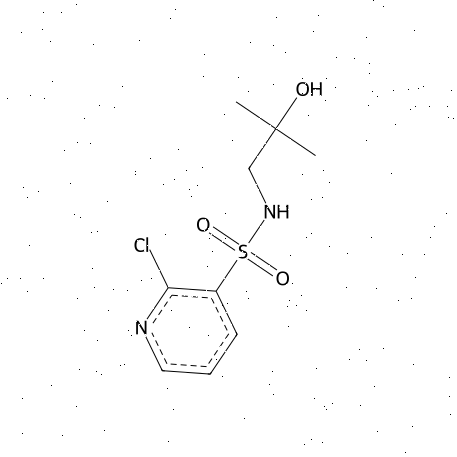 CC(C)(O)CNS(=O)(=O)c1cccnc1Cl